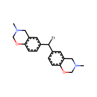 CCC(c1ccc2c(c1)CN(C)CO2)c1ccc2c(c1)CN(C)CO2